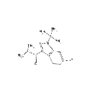 BC(B)(B)n1nc(C(=O)C(C)C)c2ccc(F)cc21